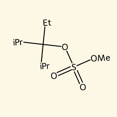 CCC(OS(=O)(=O)OC)(C(C)C)C(C)C